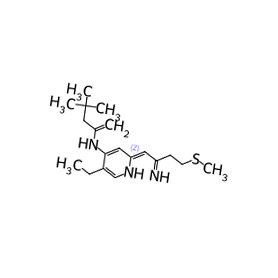 C=C(CC(C)(C)C)NC1=C/C(=C/C(=N)CCSC)NC=C1CC